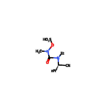 CCC[C@@H](C#N)N(CC)C(=O)N(C)OS(=O)(=O)O